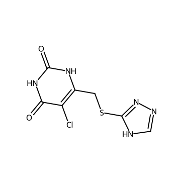 O=c1[nH]c(CSc2nnc[nH]2)c(Cl)c(=O)[nH]1